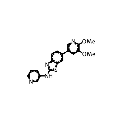 COc1cc(-c2ccc3nc(Nc4cccnc4)sc3c2)cnc1OC